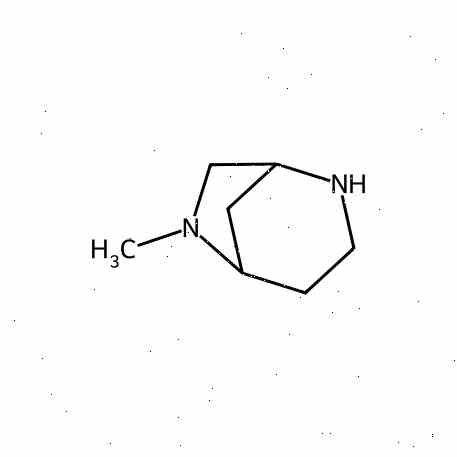 CN1CC2CC1CCN2